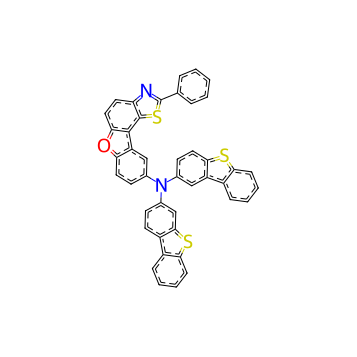 c1ccc(-c2nc3ccc4oc5ccc(N(c6ccc7c(c6)sc6ccccc67)c6ccc7sc8ccccc8c7c6)cc5c4c3s2)cc1